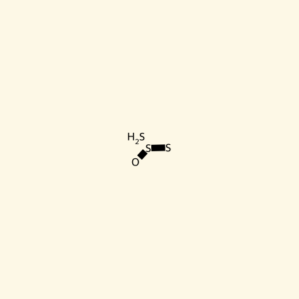 O=S=S.S